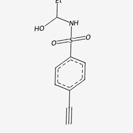 [C]#Cc1ccc(S(=O)(=O)NC(O)CC)cc1